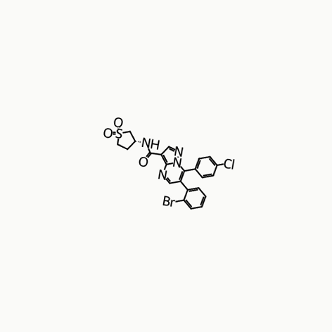 O=C(N[C@@H]1CCS(=O)(=O)C1)c1cnn2c(-c3ccc(Cl)cc3)c(-c3ccccc3Br)cnc12